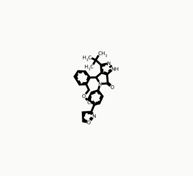 COCc1ccccc1C1c2c(C(C)(C)C)n[nH]c2C(=O)N1c1ccc(-c2ccon2)cc1